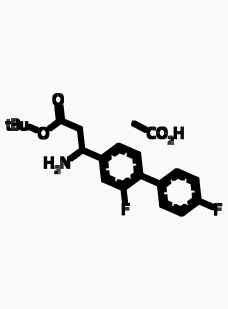 CC(=O)O.CC(C)(C)OC(=O)CC(N)c1ccc(-c2ccc(F)cc2)c(F)c1